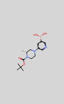 C[C@@H]1CN(c2cncc(B(O)O)c2)CCN1C(=O)OC(C)(C)C